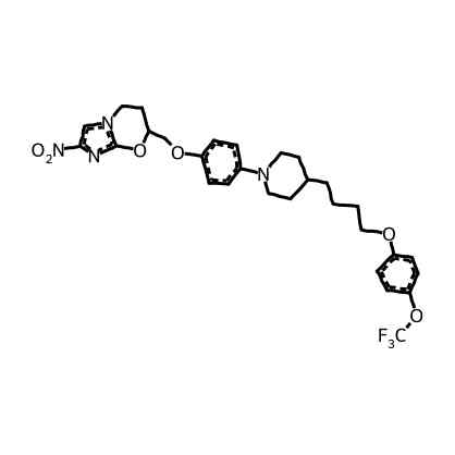 O=[N+]([O-])c1cn2c(n1)OC(COc1ccc(N3CCC(CCCCOc4ccc(OC(F)(F)F)cc4)CC3)cc1)CC2